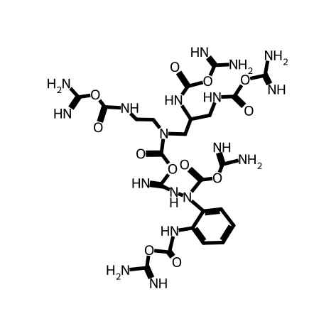 N=C(N)OC(=O)NCCN(CC(CNC(=O)OC(=N)N)NC(=O)OC(=N)N)C(=O)OC(=N)NN(C(=O)OC(=N)N)c1ccccc1NC(=O)OC(=N)N